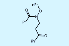 CCCON(CCC(=O)C(C)C)C(=O)C(C)C